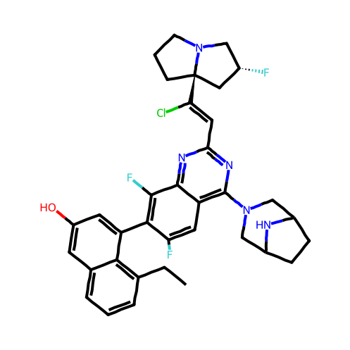 CCc1cccc2cc(O)cc(-c3c(F)cc4c(N5CC6CCC(C5)N6)nc(/C=C(\Cl)[C@@]56CCCN5C[C@H](F)C6)nc4c3F)c12